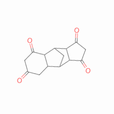 O=C1CC(=O)C2C(C1)C1CC2C2C(=O)CC(=O)C12